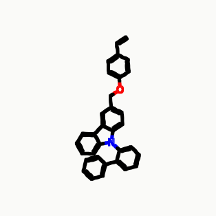 C=Cc1ccc(OCc2ccc3c(c2)c2ccccc2n3-c2ccccc2-c2ccccc2)cc1